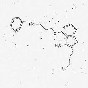 CCSCc1oc2cccc(OCCCNCc3cccnc3)c2c1C